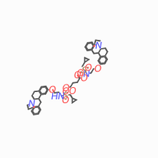 O=C(CCC(=O)ON(CCOc1ccc2c(c1)C(Cc1ccccc1)C(N1CCC1)CC2)S(=O)(=O)CC1CC1)OC(C1CC1)S(=O)(=O)NCCOc1ccc2c(c1)C(Cc1ccccc1)C(N1CCC1)CC2